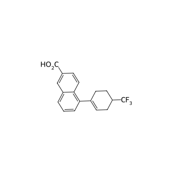 O=C(O)c1ccc2c(C3=CCC(C(F)(F)F)CC3)cccc2c1